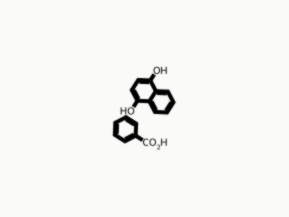 O=C(O)c1ccccc1.Oc1ccc(O)c2ccccc12